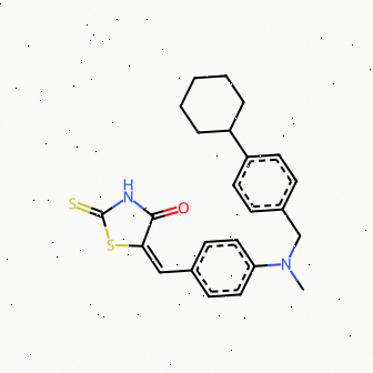 CN(Cc1ccc(C2CCCCC2)cc1)c1ccc(C=C2SC(=S)NC2=O)cc1